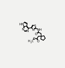 COC(=O)CC1(CC(=O)Nc2nc(-c3ncnc4[nH]ccc34)cs2)CCCC1